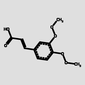 COOc1ccc(C=CC(=O)O)cc1OOC